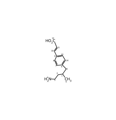 CC(CCN)Cc1ccc(/C=C/C(=O)O)cc1